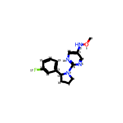 CONc1cnc(N2CCCC2c2cccc(F)c2)nc1